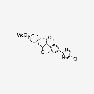 CON1CCC2(CC1)CC(=O)C(c1c(C)cc(-c3ncc(Cl)cn3)cc1C)C(=O)C2